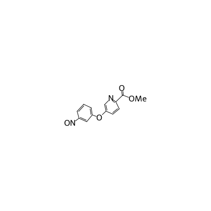 COC(=O)c1ccc(Oc2cccc(N=O)c2)cn1